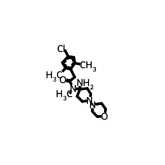 Cc1cc(Cl)cc(C)c1CC(=O)N(C)C1(N)CCN(N2CCOCC2)CC1